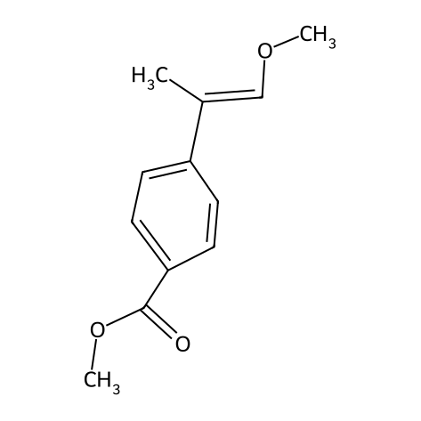 CO/C=C(\C)c1ccc(C(=O)OC)cc1